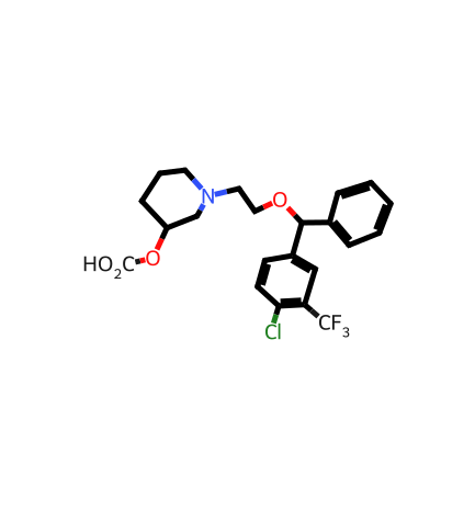 O=C(O)OC1CCCN(CCOC(c2ccccc2)c2ccc(Cl)c(C(F)(F)F)c2)C1